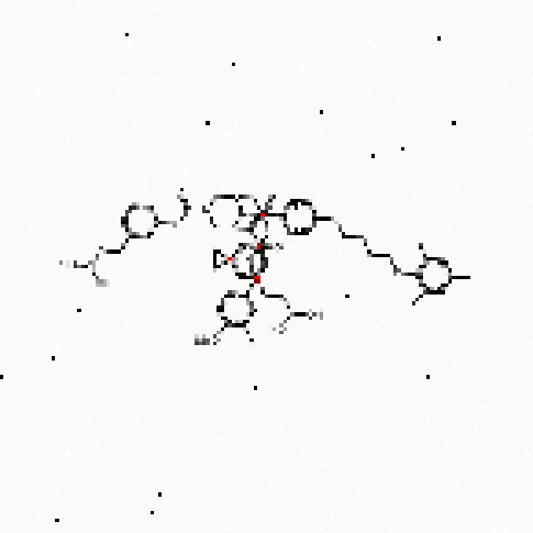 COc1ccc(CN(C(=O)C2=C(c3ccc(OCCCCOc4c(F)cc(C)cc4Cl)cc3)CC3CN(C(=O)Oc4cccc(CON(O)O)c4)CC2N3C(=O)Oc2cccc(CON(O)O)c2)C2CC2)cc1C